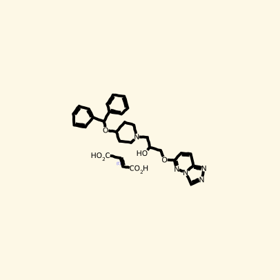 O=C(O)/C=C/C(=O)O.OC(COc1ccc2nncn2n1)CN1CCC(OC(c2ccccc2)c2ccccc2)CC1